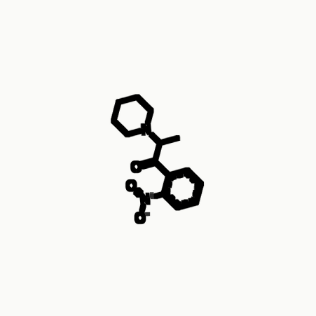 CC(C(=O)c1ccccc1[N+](=O)[O-])N1CCCCC1